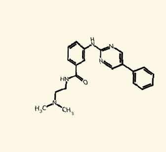 CN(C)CCNC(=O)c1cccc(Nc2ncc(-c3ccccc3)cn2)c1